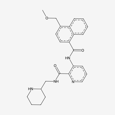 COCc1ccc(C(=O)Nc2cccnc2C(=O)NCC2CCCCN2)c2ccccc12